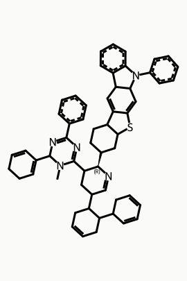 CN1C(C2CC(C3CC=CCC3C3C=CC=CC3)C=N[C@@H]2C2CCC3C4=CC5c6ccccc6N(c6ccccc6)C5C=C4SC3C2)=NC(c2ccccc2)=NC1C1=CCCC=C1